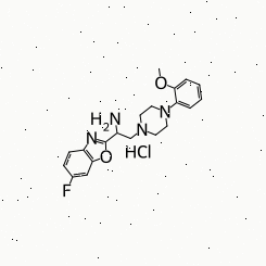 COc1ccccc1N1CCN(CC(N)c2nc3ccc(F)cc3o2)CC1.Cl